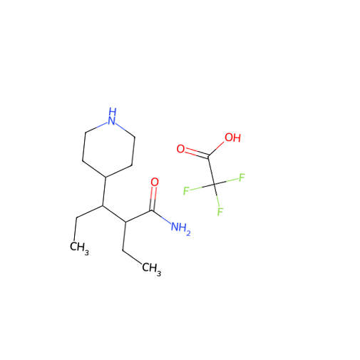 CCC(C(N)=O)C(CC)C1CCNCC1.O=C(O)C(F)(F)F